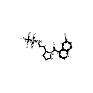 O=C(c1ccnc2ccc(Br)cc12)N1CCCC1CCNS(=O)(=O)C(F)(F)F